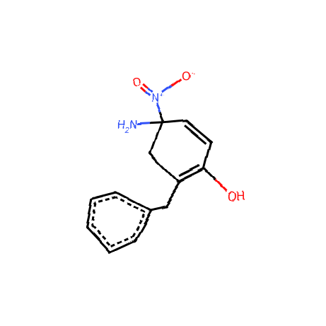 NC1([N+](=O)[O-])C=CC(O)=C(Cc2ccccc2)C1